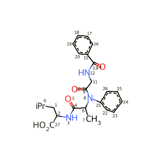 CC(C)CC(NC(=O)C(C)N(C(=O)CNC(=O)c1ccccc1)c1ccccc1)C(=O)O